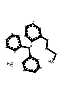 CCCCc1cccnc1.O.[B](c1ccccc1)c1ccccc1